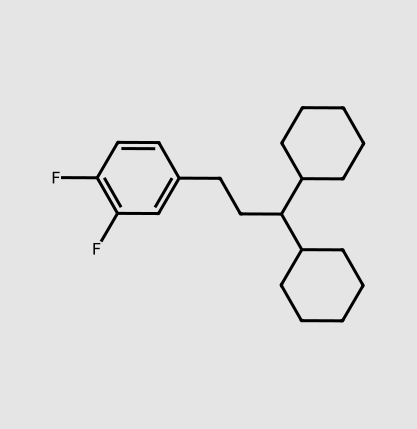 Fc1ccc(CCC(C2CCCCC2)C2CCCCC2)cc1F